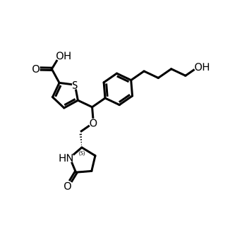 O=C1CC[C@@H](COC(c2ccc(CCCCO)cc2)c2ccc(C(=O)O)s2)N1